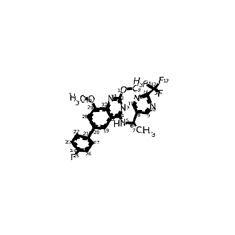 COc1nc(N[C@H](C)c2cnc(C(F)(F)F)nc2)c2cc(-c3ccc(F)cc3)cc(OC)c2n1